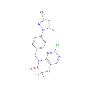 Cc1cc(C(F)(F)F)nn1-c1ccc(CN2C(=O)C(C)(C)Oc3cnc(Cl)nc32)cc1